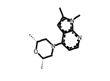 Cc1cc2c(N3C[C@@H](C)O[C@@H](C)C3)ccnc2n1C